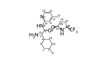 CC1CCC([C@H](N)C(=O)Nc2cc(C[C@@H]3C[C@@H](C(F)(F)F)NC3=O)ccn2)CC1